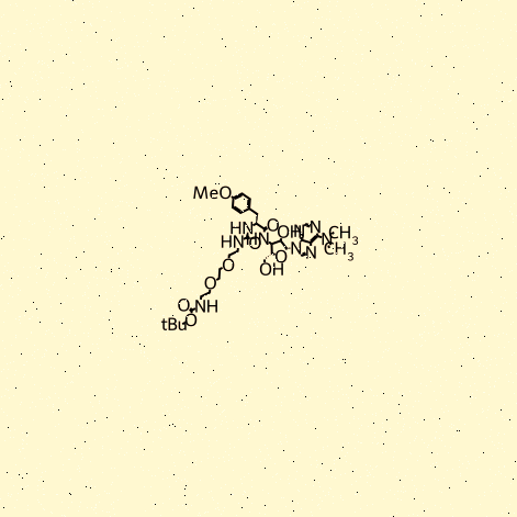 COc1ccc(C[C@H](NC(=O)NCCOCCOCCNC(=O)OC(C)(C)C)C(=O)NC2C(O)[C@H](n3cnc4c(N(C)C)ncnc43)O[C@@H]2CO)cc1